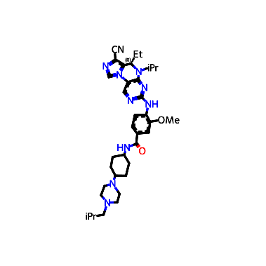 CC[C@@H]1c2c(C#N)ncn2-c2cnc(Nc3ccc(C(=O)NC4CCC(N5CCN(CC(C)C)CC5)CC4)cc3OC)nc2N1C(C)C